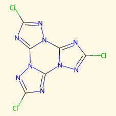 Clc1nc2n(n1)c1nc(Cl)nn1c1nc(Cl)nn21